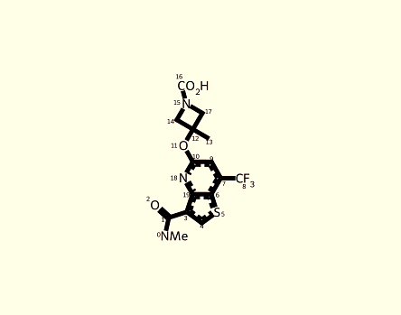 CNC(=O)c1csc2c(C(F)(F)F)cc(OC3(C)CN(C(=O)O)C3)nc12